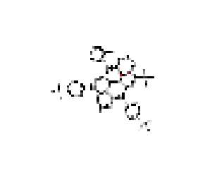 Cc1cc2c3c(n1)N(c1ccc(C(C)(C)C)cc1)c1cc(C(C)(C)C)ccc1B3C(N(c1ccccc1)c1ccccc1C)=CN2c1ccc(C(C)(C)C)cc1